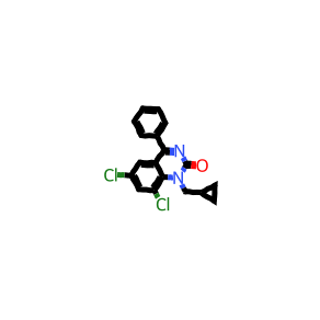 O=c1nc(-c2ccccc2)c2cc(Cl)cc(Cl)c2n1CC1CC1